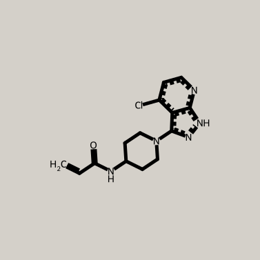 C=CC(=O)NC1CCN(c2n[nH]c3nccc(Cl)c23)CC1